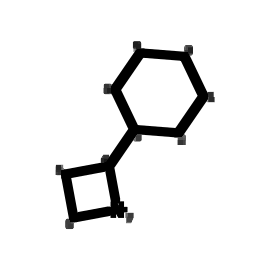 C1CCC(C2CC[N]2)CC1